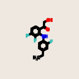 CCc1ccc(Nc2c(C(=O)CO)ccc(F)c2F)c(F)c1